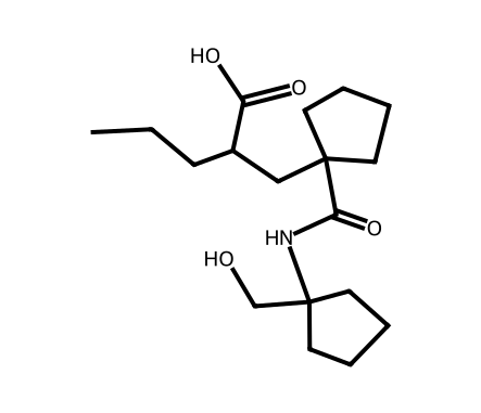 CCCC(CC1(C(=O)NC2(CO)CCCC2)CCCC1)C(=O)O